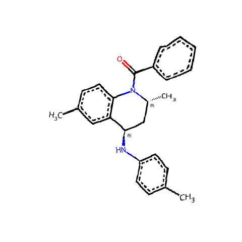 Cc1ccc(N[C@@H]2C[C@@H](C)N(C(=O)c3ccccc3)c3ccc(C)cc32)cc1